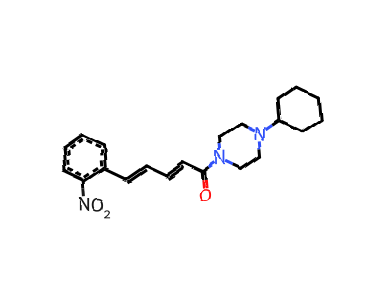 O=C(/C=C/C=C/c1ccccc1[N+](=O)[O-])N1CCN(C2CCCCC2)CC1